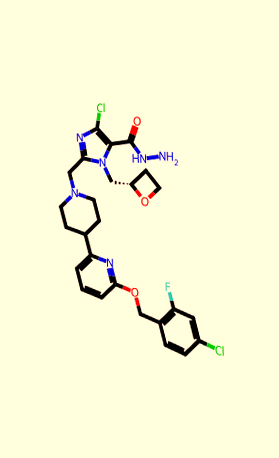 NNC(=O)c1c(Cl)nc(CN2CCC(c3cccc(OCc4ccc(Cl)cc4F)n3)CC2)n1C[C@@H]1CCO1